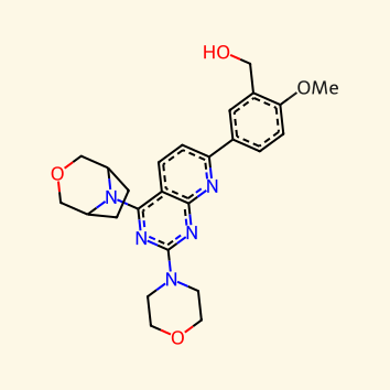 COc1ccc(-c2ccc3c(N4C5CCC4COC5)nc(N4CCOCC4)nc3n2)cc1CO